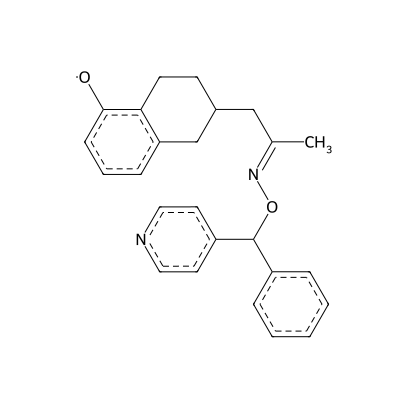 CC(CC1CCc2c([O])cccc2C1)=NOC(c1ccccc1)c1ccncc1